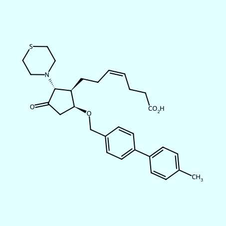 Cc1ccc(-c2ccc(CO[C@H]3CC(=O)[C@H](N4CCSCC4)[C@H]3CC/C=C\CCC(=O)O)cc2)cc1